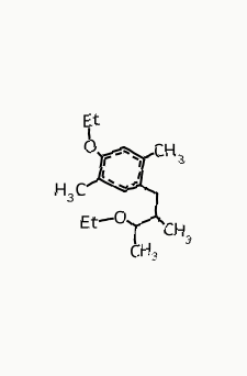 CCOc1cc(C)c(CC(C)C(C)OCC)cc1C